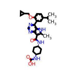 Cc1[nH]c2c(-c3cc(C(C)C)ccc3OCC3CC3)ncnc2c1C(=O)N[C@H]1CC[C@H](NC(=O)O)CC1